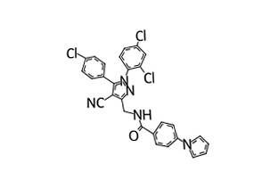 N#Cc1c(CNC(=O)c2ccc(-n3cccc3)cc2)nn(-c2ccc(Cl)cc2Cl)c1-c1ccc(Cl)cc1